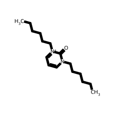 CCCCCCn1ccc[n+](CCCCCC)c1=O